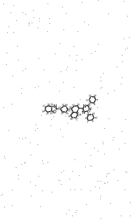 c1ccc(-c2nc(-c3ccccc3)nc(-c3ccc(-c4ccc(-c5nc6ccccc6o5)cc4)c4ccccc34)n2)cc1